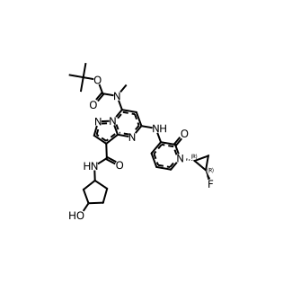 CN(C(=O)OC(C)(C)C)c1cc(Nc2cccn([C@@H]3C[C@H]3F)c2=O)nc2c(C(=O)NC3CCC(O)C3)cnn12